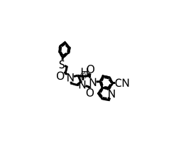 N#Cc1ccc(N2C(=O)[C@@H]3C4CC(CN4C(=O)CSc4ccccc4)N3C2=O)c2cccnc12